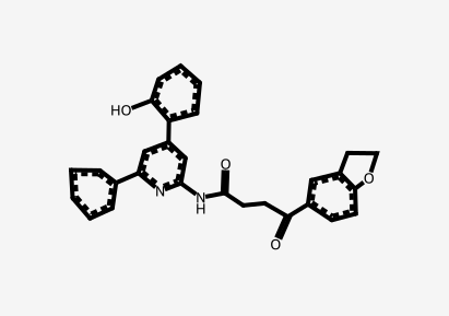 O=C(CCC(=O)c1ccc2c(c1)CCO2)Nc1cc(-c2ccccc2O)cc(-c2ccccc2)n1